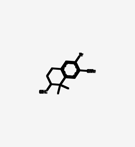 COc1cc2c(cc1Br)CCC(C=O)C2(C)C